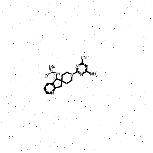 CC(C)(C)[S+]([O-])N[C@@H]1c2cccnc2CC12CCN(c1nc(N)cc(C#N)n1)CC2